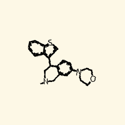 CN1Cc2cc(N3CCOCC3)ccc2C(c2csc3ccccc23)C1